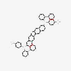 C[Si](C)(C)c1ccc(N(c2ccc3cc4c(cc3c2)oc2cc3cc(N(c5ccc([Si](C)(C)C)cc5)c5ccccc5-c5ccccc5)ccc3cc24)c2ccccc2-c2ccccc2)cc1